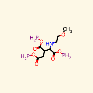 COCCNC(C(=O)OP)C(CC(=O)OP)C(=O)OP